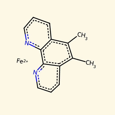 Cc1c(C)c2cccnc2c2ncccc12.[Fe+2]